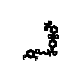 CC(C)(CCCOc1ccc(F)cc1F)C(=O)N1CCN(S(=O)(=O)c2cccc(S(C)(=O)=O)c2)CC1